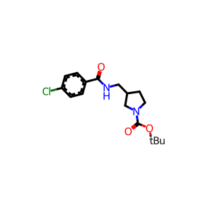 CC(C)(C)OC(=O)N1CCC(CNC(=O)c2ccc(Cl)cc2)C1